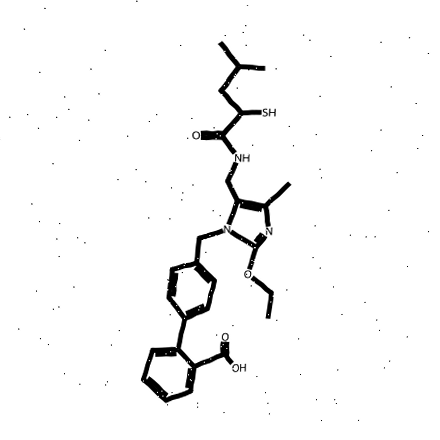 CCOc1nc(C)c(CNC(=O)C(S)CC(C)C)n1Cc1ccc(-c2ccccc2C(=O)O)cc1